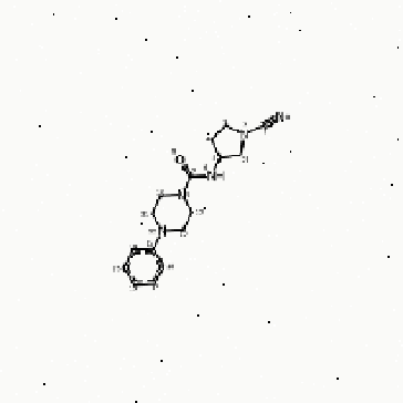 N#CN1CCC(NC(=O)N2CCN(c3ccccc3)CC2)C1